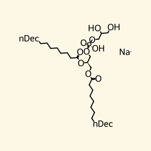 CCCCCCCCCCCCCCCCCC(=O)OC[C@H](COP(=O)(O)OCC(O)CO)OC(=O)CCCCCCCCCCCCCCCCC.[Na]